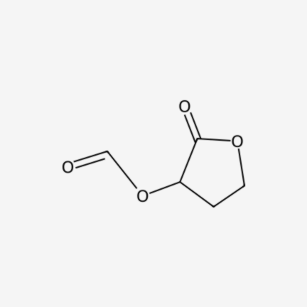 O=COC1CCOC1=O